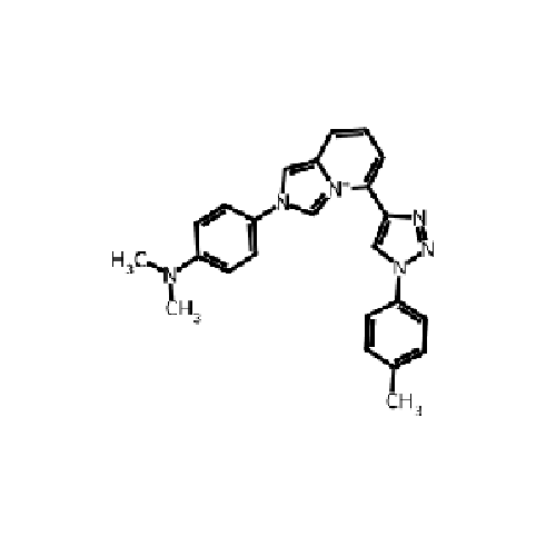 Cc1ccc(-n2cc(-c3cccc4cn(-c5ccc(N(C)C)cc5)c[n+]34)nn2)cc1